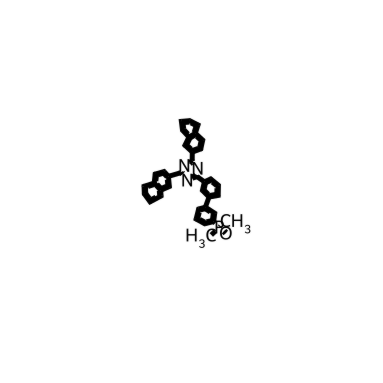 CP(C)(=O)c1cccc(-c2cccc(-c3nc(-c4ccc5ccccc5c4)nc(-c4ccc5ccccc5c4)n3)c2)c1